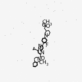 COC(=O)CC1CCCN(c2ccc(-c3cc4nc(C(=O)N5CCc6ccccc6[C@H]5C)cc(C5CC5)n4n3)c(F)c2)C1